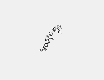 CC(C)c1noc(C2CCN(c3ncnc(Oc4ccc(S(C)(=O)=O)cc4)c3C#N)CC2)n1